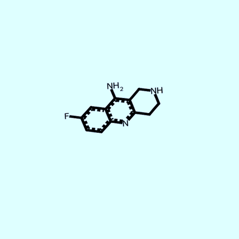 Nc1c2c(nc3ccc(F)cc13)CCNC2